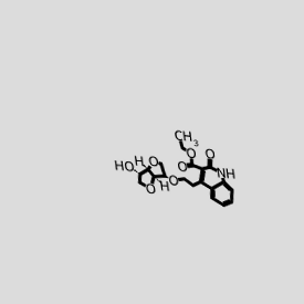 CCOC(=O)c1c(CCO[C@H]2CO[C@H]3[C@@H]2OC[C@@H]3O)c2ccccc2[nH]c1=O